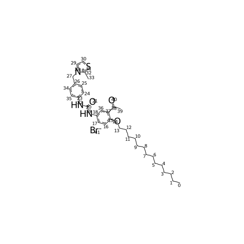 CCCCCCCCCCCCCCOc1ccc(NC(=O)Nc2ccc(C[n+]3ccsc3C)cc2)cc1C(C)=O.[Br-]